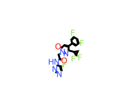 O=C(Cn1nc(C2CC2(F)F)c(-c2cc(F)cc(F)c2)cc1=O)Nc1ncncc1F